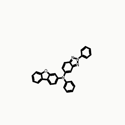 c1ccc(N(c2ccc3nn(-c4ccccc4)nc3c2)c2ccc3c(c2)oc2ccccc23)cc1